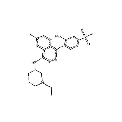 CCN1CCCC(Nc2nnc(-c3ccc(S(C)(=O)=O)cc3O)c3ccc(C)cc23)C1